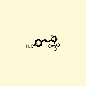 Cc1ccc(C=Cc2sccc2S(=O)(=O)Cl)cc1